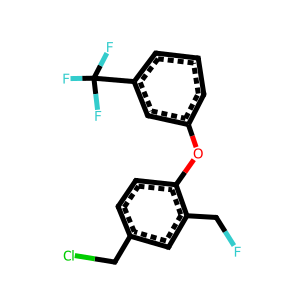 FCc1cc(CCl)ccc1Oc1cccc(C(F)(F)F)c1